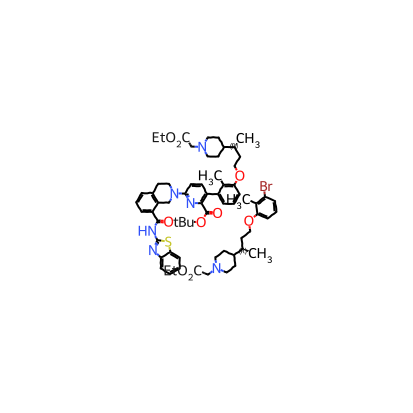 CCOC(=O)CN1CCC([C@H](C)CCOc2cccc(-c3ccc(N4CCc5cccc(C(=O)Nc6nc7ccccc7s6)c5C4)nc3C(=O)OC(C)(C)C)c2C)CC1.CCOC(=O)CN1CCC([C@H](C)CCOc2cccc(Br)c2C)CC1